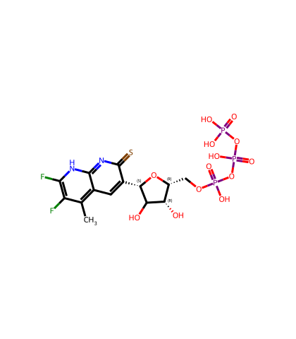 Cc1c2cc([C@@H]3O[C@H](COP(=O)(O)OP(=O)(O)OP(=O)(O)O)[C@H](O)C3O)c(=S)nc-2[nH]c(F)c1F